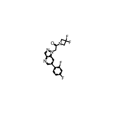 O=C(Cn1ncc2ncc(-c3ccc(F)cc3F)cc21)N1CC(F)(F)C1